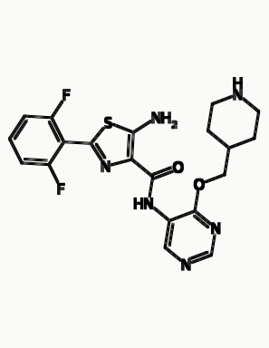 Nc1sc(-c2c(F)cccc2F)nc1C(=O)Nc1cncnc1OCC1CCNCC1